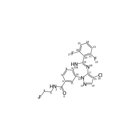 O=C(NCCF)c1ccc2c(c1)-n1ncc(Cl)c1N=C(c1c(F)cccc1F)N2